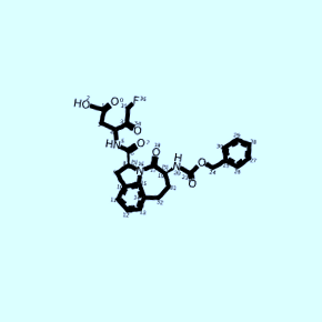 O=C(O)CC(NC(=O)[C@@H]1Cc2cccc3c2N1C(=O)[C@@H](NC(=O)OCc1ccccc1)CC3)C(=O)CF